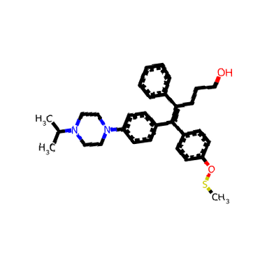 CSOc1ccc(/C(=C(\CCCO)c2ccccc2)c2ccc(N3CCN(C(C)C)CC3)cc2)cc1